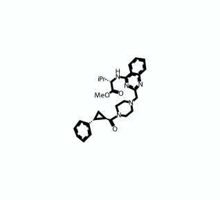 COC(=O)[C@@H](Nc1nc(CN2CCN(C(=O)[C@@H]3C[C@H]3c3ccccc3)CC2)nc2ccccc12)C(C)C